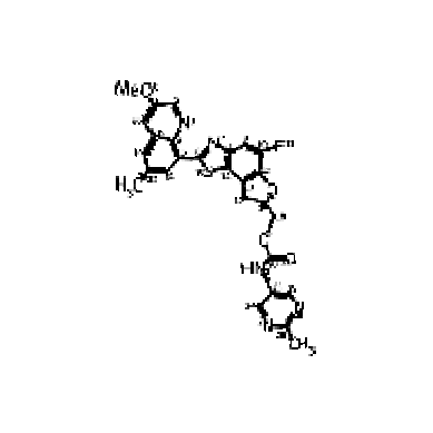 COc1cnc2c(-c3nc4cc(F)c5c(c4s3)C[C@H](COC(=O)Nc3cnc(C)nc3)O5)cc(C)cc2c1